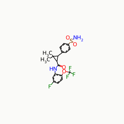 CC1(C)C(C(=O)Nc2cc(F)ccc2OC(F)(F)F)C1c1ccc(S(N)(=O)=O)cc1